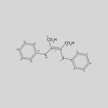 O=C(O)/C(Sc1ccccc1)=C(/Sc1ccccc1)C(=O)O